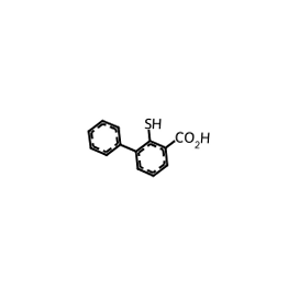 O=C(O)c1cccc(-c2ccccc2)c1S